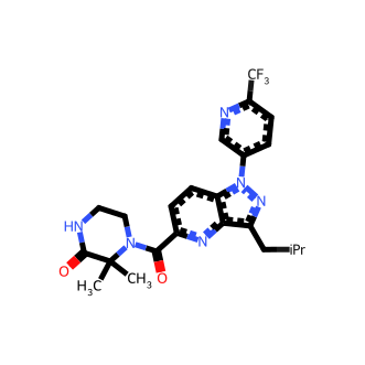 CC(C)Cc1nn(-c2ccc(C(F)(F)F)nc2)c2ccc(C(=O)N3CCNC(=O)C3(C)C)nc12